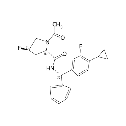 CC(=O)N1C[C@H](F)C[C@H]1C(=O)N[C@@H](c1ccccc1)c1ccc(C2CC2)c(F)c1